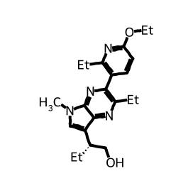 CCOc1ccc(-c2nc3c(nc2CC)c([C@@H](CC)CO)cn3C)c(CC)n1